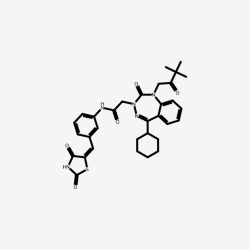 CC(C)(C)C(=O)CN1C(=O)N(CC(=O)Nc2cccc(C=C3SC(=O)NC3=O)c2)N=C(C2CCCCC2)c2ccccc21